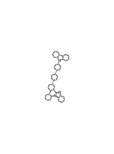 c1ccc2c(c1)nc1c3cc(-c4ccc(-c5ccc(-n6c7ccccc7c7ccccc76)cc5)cc4)ccc3c3ccccc3n21